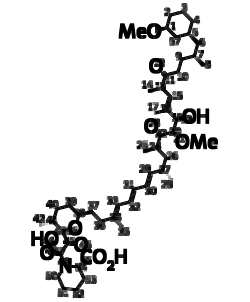 CO[C@H]1CCC[C@@H](C[C@@H](C)CCC(=O)[C@H](C)/C=C(\C)[C@@H](O)[C@@H](OC)C(=O)[C@H](C)C[C@H](C)/C=C/C=C/C=C(\C)CC[C@@H]2CC[C@@H](C)[C@](O)(C(=O)C(=O)N3CCCCC3C(=O)O)O2)C1